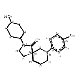 O=C1N(C2CCC(O)CC2)CC[C@@]12CCCN(c1n[c]c(F)cn1)C2